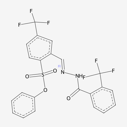 O=C(N/N=C/c1cc(C(F)(F)F)ccc1S(=O)(=O)Oc1ccccc1)c1ccccc1C(F)(F)F